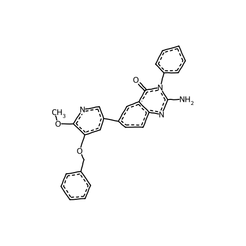 COc1ncc(-c2ccc3nc(N)n(-c4ccccc4)c(=O)c3c2)cc1OCc1ccccc1